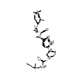 CCC(C)(C)NC(=O)O[C@H]1CO[C@@H](c2cc(NC(=O)[C@@H]3C[C@H]3c3cnn(C)c3C)n[nH]2)C1